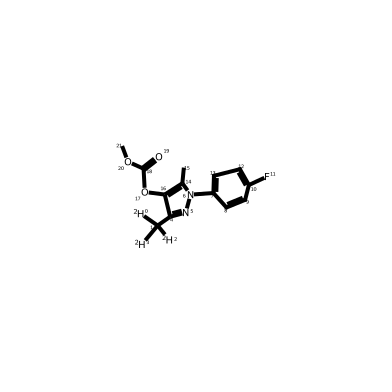 [2H]C([2H])([2H])c1nn(-c2ccc(F)cc2)c(C)c1OC(=O)OC